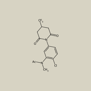 CC(=O)N(C)c1cc(N2C(=O)CC(C(F)(F)F)CC2=O)ccc1Cl